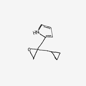 c1c[nH]c(C2(C3CC3)CO2)c1